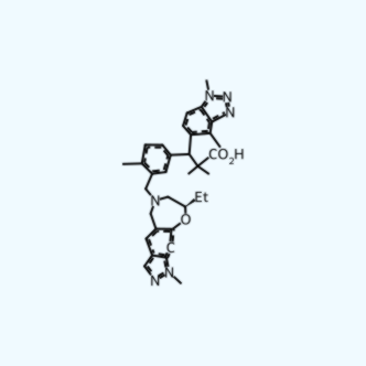 CC[C@@H]1CN(Cc2cc(C(c3ccc4c(nnn4C)c3C)C(C)(C)C(=O)O)ccc2C)Cc2cc3cnn(C)c3cc2O1